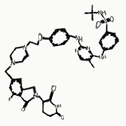 Cc1cnc(Nc2ccc(OCCN3CCN(Cc4cc(F)c5c(c4)CN(C4CCC(=O)NC4=O)C5=O)CC3)cc2)nc1Nc1cccc(S(=O)(=O)NC(C)(C)C)c1